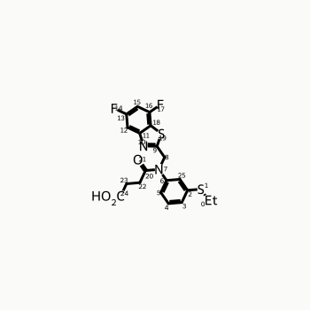 CCSc1cccc(N(Cc2nc3cc(F)cc(F)c3s2)C(=O)CCC(=O)O)c1